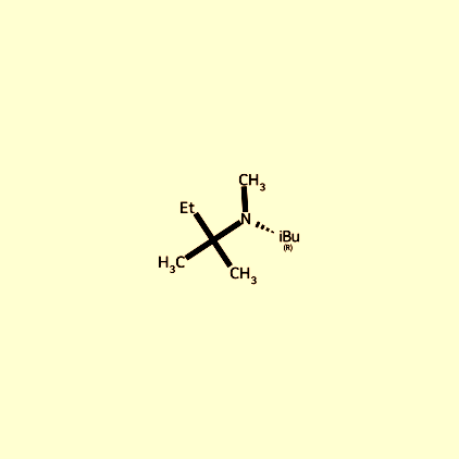 CC[C@@H](C)N(C)C(C)(C)CC